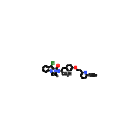 CNc1cccc(CCOc2ccc(C[C@H](NC(=O)c3c(Cl)c4ccccc4n3C)C(=O)O)cc2)n1